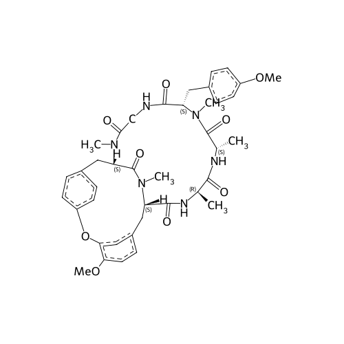 COc1ccc(C[C@H]2C(=O)NCC(=O)N(C)[C@H]3Cc4ccc(cc4)Oc4cc(ccc4OC)C[C@@H](C(=O)N[C@H](C)C(=O)N[C@@H](C)C(=O)N2C)N(C)C3=O)cc1